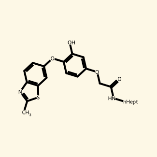 CCCCCCCNC(=O)COc1ccc(Oc2ccc3nc(C)sc3c2)c(O)c1